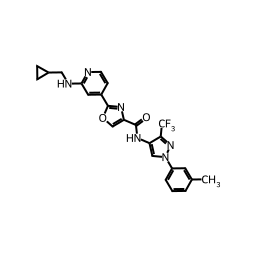 Cc1cccc(-n2cc(NC(=O)c3coc(-c4ccnc(NCC5CC5)c4)n3)c(C(F)(F)F)n2)c1